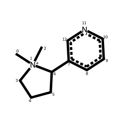 C[N+]1(C)CCCC1c1cccnc1